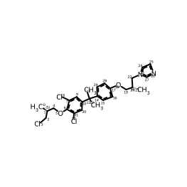 C[C@H](CCl)COc1c(Cl)cc(C(C)(C)c2ccc(OC[C@@H](C)Cn3ccnc3)cc2)cc1Cl